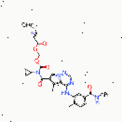 CCCNC(=O)c1ccc(C)c(Nc2ncnn3cc(C(=O)N(C(=O)OCOC(=O)/C=C/C=O)C4CC4)c(C)c23)c1